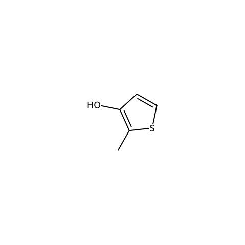 Cc1sccc1O